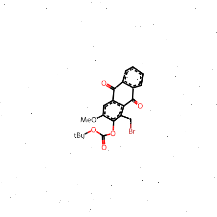 COc1cc2c(c(CBr)c1OC(=O)OC(C)(C)C)C(=O)c1ccccc1C2=O